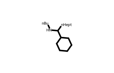 CCCCCCCC(NCCCC)C1CCCCC1